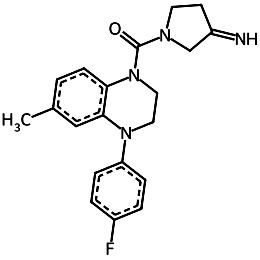 Cc1ccc2c(c1)N(c1ccc(F)cc1)CCN2C(=O)N1CCC(=N)C1